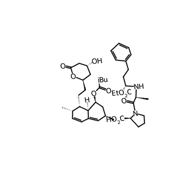 CCOC(=O)[C@H](CCc1ccccc1)N[C@@H](C)C(=O)N1CCC[C@H]1C(=O)O.CC[C@H](C)C(=O)O[C@H]1C[C@@H](C)C=C2C=C[C@H](C)[C@H](CC[C@@H]3C[C@@H](O)CC(=O)O3)[C@H]21